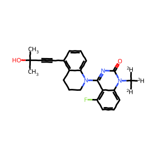 [2H]C([2H])([2H])n1c(=O)nc(N2CCCc3c(C#CC(C)(C)O)cccc32)c2c(F)cccc21